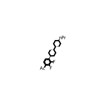 CCC[C@H]1CC[C@H]([C@H]2CC[C@H](c3ccc(C(C)=O)c(F)c3F)CC2)CC1